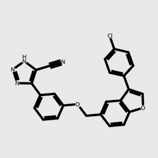 N#Cc1[nH]nnc1-c1cccc(OCc2ccc3occ(-c4ccc(Cl)cc4)c3c2)c1